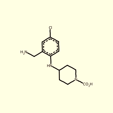 NCc1cc(Cl)ccc1NC1CCN(C(=O)O)CC1